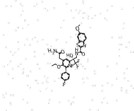 CCOc1c(CC(N)=O)cc([C@@](O)(CNC(=O)c2nc3ccc(OC)cc3s2)C(F)(F)F)nc1-c1ccc(F)cc1